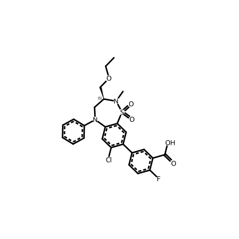 CCOC[C@@H]1CN(c2ccccc2)c2cc(Cl)c(-c3ccc(F)c(C(=O)O)c3)cc2S(=O)(=O)N1C